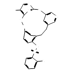 Nc1ccccc1S(=O)(=O)Nc1ccc2cc1CCc1cncc(c1)Nc1ncc(Cl)c(n1)NC2